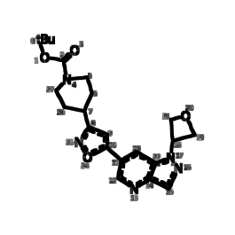 CC(C)(C)OC(=O)N1CCC(c2cc(-c3cnc4cnn(C5COC5)c4c3)on2)CC1